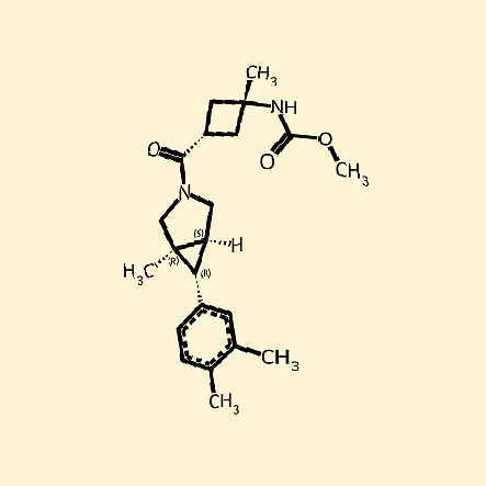 COC(=O)N[C@]1(C)C[C@H](C(=O)N2C[C@H]3[C@H](c4ccc(C)c(C)c4)[C@@]3(C)C2)C1